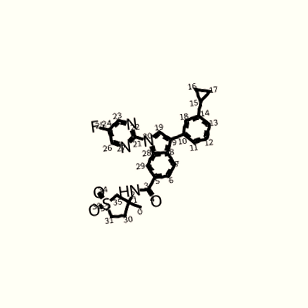 CC1(NC(=O)c2ccc3c(-c4cccc(C5CC5)c4)cn(-c4ncc(F)cn4)c3c2)CCS(=O)(=O)C1